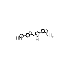 NC1CCc2ccc(C3=CCC(/C=C4\CCc5cc(C6=CCCNC6)ccc54)NC3)cc21